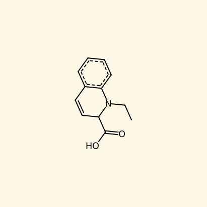 CCN1c2ccccc2C=CC1C(=O)O